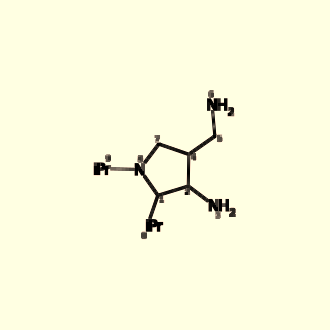 CC(C)C1C(N)C(CN)CN1C(C)C